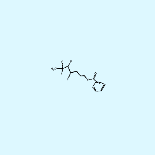 CC(F)(F)C(F)C(F)CCCSC(=O)c1ccccc1